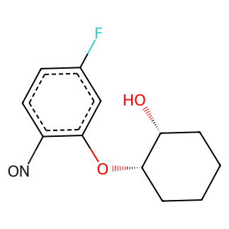 O=Nc1ccc(F)cc1O[C@H]1CCCC[C@H]1O